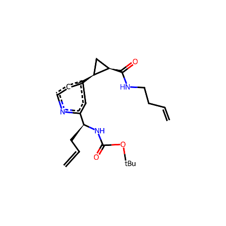 C=CCCNC(=O)[C@@H]1C[C@@H]1c1ccnc([C@H](CC=C)NC(=O)OC(C)(C)C)c1